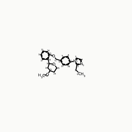 CCc1nccn1-c1ccc(COc2ccccc2C2CC(OC)CCO2)cc1